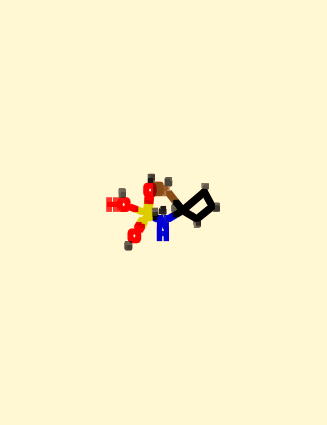 O=S(=O)(O)NC1(Br)CCC1